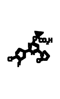 O=C1CCCN1c1cc(OC2(C(=O)O)CC2)nc(-c2ccc(Cl)c(F)c2)n1